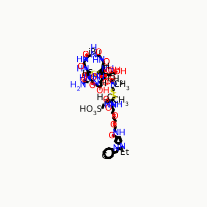 CCc1nc2ccc(C(=O)NCCOCCOCCC(=O)NC(C(=O)NCCS(=O)(=O)O)C(C)(C)SSCCN(C)C(=O)Oc3ccc4c5c([nH]c4c3)[S+]([O-])C[C@@H]3NC(=O)CNC(=O)[C@H]([C@@H](C)CC)NC(=O)CNC(=O)[C@@H](C5)NC(=O)[C@H]([C@@H](C)[C@@H](O)CO)NC(=O)[C@@H]4C[C@@H](O)CN4C(=O)[C@H](CC(N)=O)NC3=O)cc2nc1CC1CCCCCCCC1